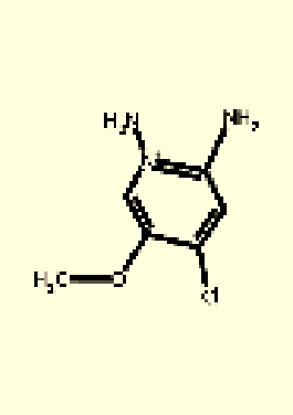 COc1c[n+](N)c(N)cc1Cl